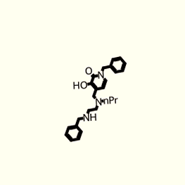 CCCN(CCNCc1ccccc1)Cc1ccn(Cc2ccccc2)c(=O)c1O